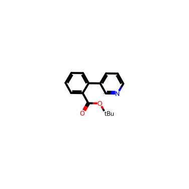 CC(C)(C)OC(=O)c1ccccc1-c1[c]nccc1